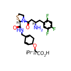 CC(C)[C@H](OC1C=CC(CNC(=O)[C@H]2SCCN2C(=O)C[C@H](N)Cc2cc(F)c(F)cc2F)=CC1)C(=O)O